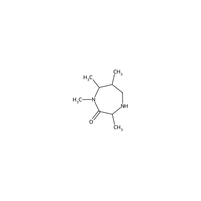 CC1NCC(C)C(C)N(C)C1=O